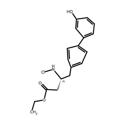 CCOC(=O)C[C@@H](Cc1ccc(-c2cccc(O)c2)cc1)NCl